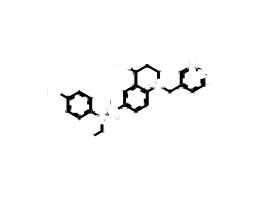 CCc1ccc(N(CC(C)C)S(=O)(=O)c2ccc3c(c2)C(O)CCN3Cc2ccnnc2)cc1